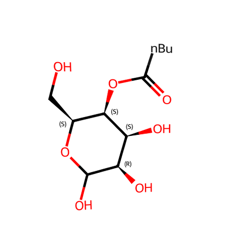 CCCCC(=O)O[C@H]1[C@@H](O)[C@@H](O)C(O)O[C@H]1CO